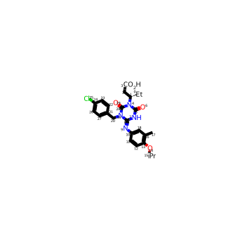 CC[C@@H](CC(=O)O)n1c(=O)[nH]/c(=N\c2ccc(OC(C)C)c(C)c2)n(Cc2ccc(Cl)cc2)c1=O